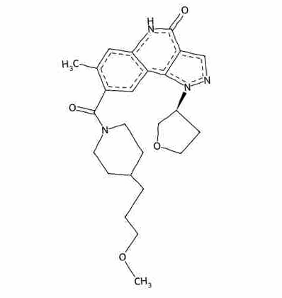 COCCCC1CCN(C(=O)c2cc3c(cc2C)[nH]c(=O)c2cnn([C@H]4CCOC4)c23)CC1